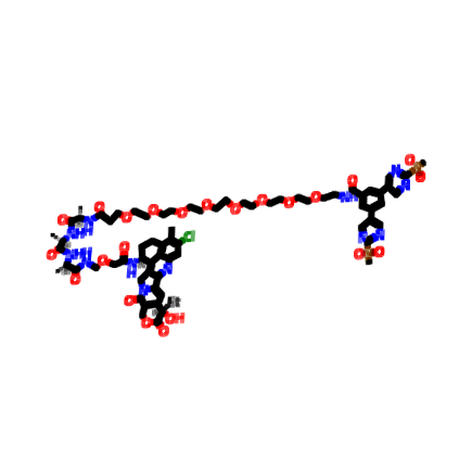 CC[C@@]1(O)C(=O)OCc2c1cc1n(c2=O)Cc2c-1nc1cc(Cl)c(C)c3c1c2[C@@H](NC(=O)COCNC(=O)[C@H](C)NC(=O)[C@H](C)NC(=O)[C@H](C)NC(=O)CCOCCOCCOCCOCCOCCOCCOCCOCCNC(=O)c1cc(-c2cnc(S(C)(=O)=O)nc2)cc(-c2cnc(S(C)(=O)=O)nc2)c1)CC3